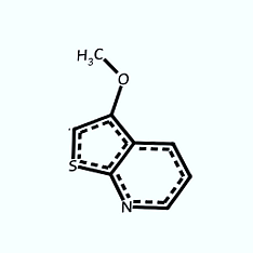 COc1[c]sc2ncccc12